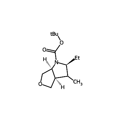 CC[C@H]1C(C)[C@H]2COC[C@H]2N1C(=O)OC(C)(C)C